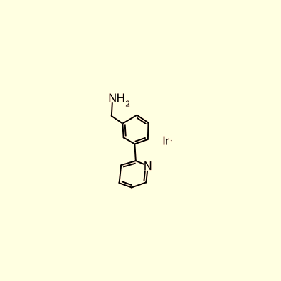 NCc1cccc(-c2ccccn2)c1.[Ir]